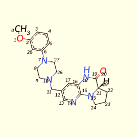 COc1cccc(N2CCN(Cc3cnc4c(c3)NC(=O)[C@@H]3CCCN43)CC2)c1